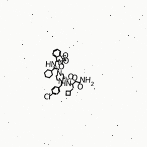 NC(=O)C(=O)C(CC1CCC1)NC(=O)[C@H]1CN(C(=O)[C@@H](NC2=NS(=O)(=O)c3ccccc32)C2CCCCC2)CCN1Cc1ccc(Cl)cc1